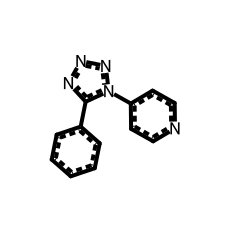 c1ccc(-c2nnnn2-c2ccncc2)cc1